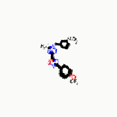 Cc1nc(-c2nc(-c3ccc(OC(F)(F)F)cc3)no2)nn1Cc1cccc([N+](=O)[O-])c1